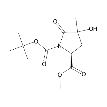 COC(=O)[C@@H]1CC(C)(O)C(=O)N1C(=O)OC(C)(C)C